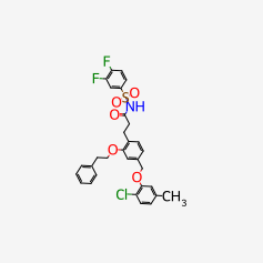 Cc1ccc(Cl)c(OCc2ccc(CCC(=O)NS(=O)(=O)c3ccc(F)c(F)c3)c(OCCc3ccccc3)c2)c1